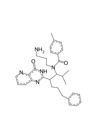 Cc1ccc(C(=O)N(CCCN)C(C(C)C)C(CCCc2ccccc2)c2nc3cccnc3c(=O)[nH]2)cc1